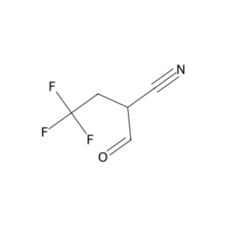 N#CC(C=O)CC(F)(F)F